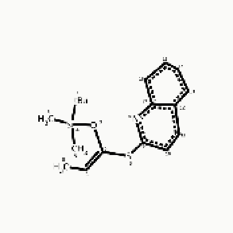 CC=C(O[Si](C)(C)C(C)(C)C)Sc1ccc2ccccc2n1